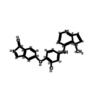 Cn1ccc2ncnc(Nc3ccc(Oc4ccc5c(c4)C=NC5=O)c(Cl)c3)c21